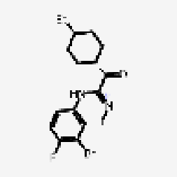 CC[C@H]1CC[C@H](C(=O)/C(=N/I)Nc2ccc(F)c(Br)c2)CC1